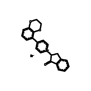 O=C1c2ccccc2CC1[n+]1ccc(-c2cccc3c2OCCO3)cc1.[Br-]